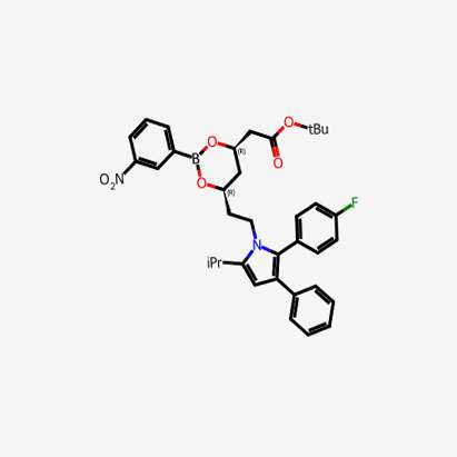 CC(C)c1cc(-c2ccccc2)c(-c2ccc(F)cc2)n1CC[C@@H]1C[C@H](CC(=O)OC(C)(C)C)OB(c2cccc([N+](=O)[O-])c2)O1